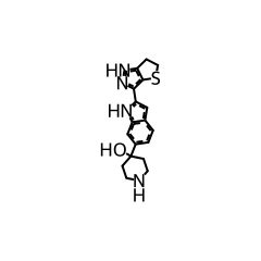 OC1(c2ccc3cc(-c4n[nH]c5c4SCC5)[nH]c3c2)CCNCC1